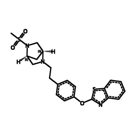 CS(=O)(=O)N1C[C@@H]2C[C@H]1CN2CCc1ccc(Oc2nc3ccccc3s2)cc1